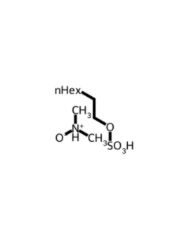 CCCCCCCCOS(=O)(=O)O.C[NH+](C)[O-]